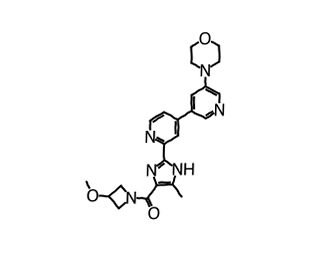 COC1CN(C(=O)c2nc(-c3cc(-c4cncc(N5CCOCC5)c4)ccn3)[nH]c2C)C1